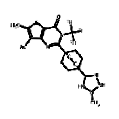 [2H]C([2H])([2H])n1c(C23CCC(C4NNN(C)N4)(CC2)CC3)nc2c(C(C)=O)c(C)sc2c1=O